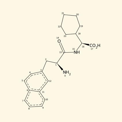 N[C@@H](Cc1ccc2ccccc2c1)C(=O)N[C@H](C(=O)O)C1CCCCC1